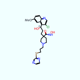 COc1ccc2ncc(Cl)c([C@H](O)CCC3(C(=O)NO)CCN(CCCSc4cnccn4)CC3)c2c1